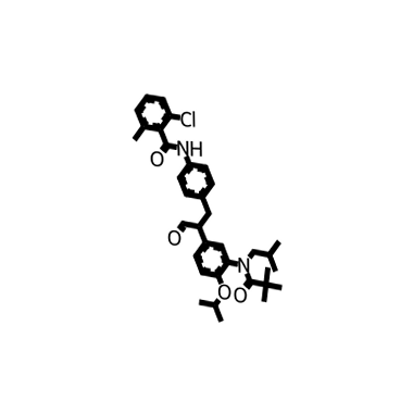 Cc1cccc(Cl)c1C(=O)Nc1ccc(CC(C=O)c2ccc(OC(C)C)c(N(CC(C)C)C(=O)C(C)(C)C)c2)cc1